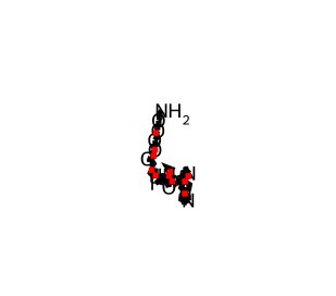 Cc1ccc(N2CCC[C@H](N(Cc3ccnc(C)c3)Cc3cn(C4CC4)c4cc(N5CC[C@H](CCC(=O)CCOCCOCCOCCOCCN)C5)c(F)cc4c3=O)C2)cn1